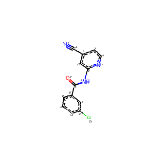 N#Cc1ccnc(NC(=O)c2cccc(Cl)c2)c1